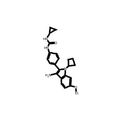 CCOc1ccc2c(N)c(-c3ccc(NC(=O)NC4CC4)cc3)n(C3CCC3)c2c1